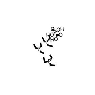 CCP(CC)CC.CCP(CC)CC.CCP(CC)CC.O=C(O)P(=O)(O)O